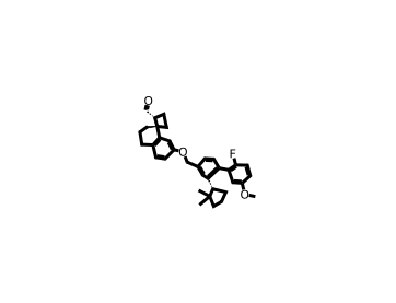 COc1ccc(F)c(-c2ccc(COc3ccc4c(c3)[C@@]3(CCC4)CC[C@H]3C=O)cc2[C@@H]2CCCC2(C)C)c1